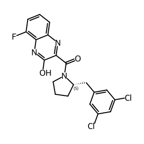 O=C(c1nc2cccc(F)c2nc1O)N1CCC[C@H]1Cc1cc(Cl)cc(Cl)c1